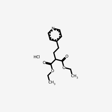 CCOC(=O)C(CCc1ccncc1)C(=O)OCC.Cl